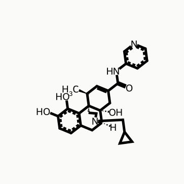 C[C@H]1C=C(C(=O)Nc2cccnc2)C[C@@]2(O)[C@H]3Cc4ccc(O)c(O)c4[C@@]12CCN3CC1CC1